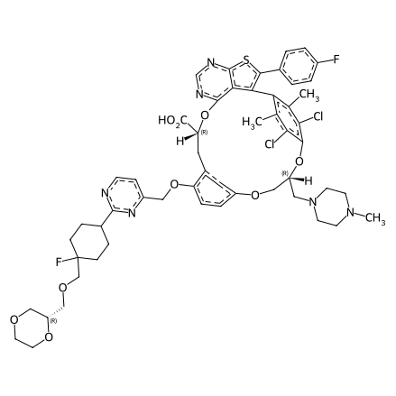 Cc1c(Cl)c2c(Cl)c(C)c1-c1c(-c3ccc(F)cc3)sc3ncnc(c13)O[C@@H](C(=O)O)Cc1cc(ccc1OCc1ccnc(C3CCC(F)(COC[C@H]4COCCO4)CC3)n1)OC[C@@H](CN1CCN(C)CC1)O2